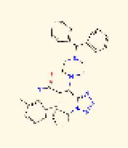 Cc1cccc2cc(C(c3nnnn3C3CCCC3)N3CCN(C(c4ccccc4)c4ccccc4)CC3)c(=O)[nH]c12